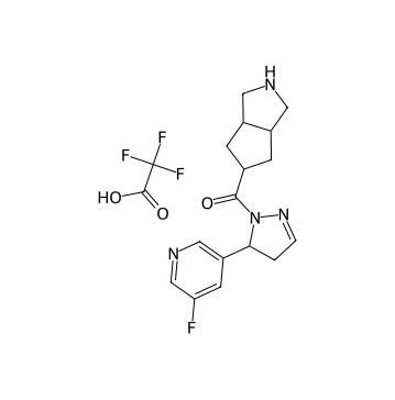 O=C(C1CC2CNCC2C1)N1N=CCC1c1cncc(F)c1.O=C(O)C(F)(F)F